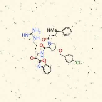 CN[C@H](CCc1ccccc1)C(=O)N1C[C@H](OCc2ccc(Cl)cc2)C[C@H]1C(=O)N[C@@H](CCCNC(=N)N)C(=O)c1nc2ccccc2o1